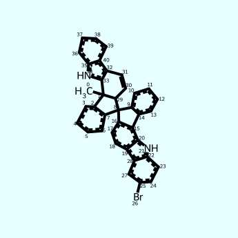 CC12c3ccccc3C3(c4ccccc4-c4c3ccc3c4[nH]c4ccc(Br)cc43)C1C=Cc1c2[nH]c2ccccc12